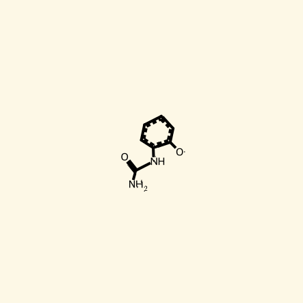 NC(=O)Nc1ccccc1[O]